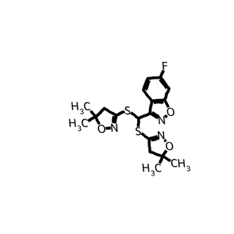 CC1(C)CC(SC(SC2=NOC(C)(C)C2)c2noc3cc(F)ccc23)=NO1